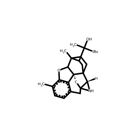 Cc1ccc2c3c1OC1C4(C)CCC5(CC4C(C)(O)C(C)(C)C)[C@@H]4NC4(C2)C[C@]315